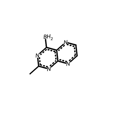 Bc1nc(C)nc2nccnc12